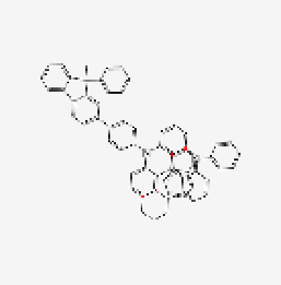 CC1(c2ccccc2)c2ccccc2-c2ccc(-c3ccc(N(c4ccccc4-c4cccc5cccc(C6CCCCC6)c45)c4cccc5c4c4ccccc4n5-c4ccccc4)cc3)cc21